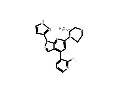 C[C@@H]1COCCN1c1cc(-c2cccnc2C(F)(F)F)c2cnn(-c3cc[nH]n3)c2n1